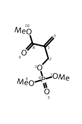 C=C(COP(=O)(OC)OC)C(=O)OC